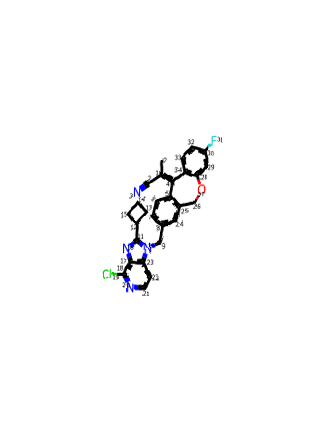 CC(C#N)=C1c2ccc(Cn3c(C4CCC4)nc4c(Cl)nccc43)cc2COc2cc(F)ccc21